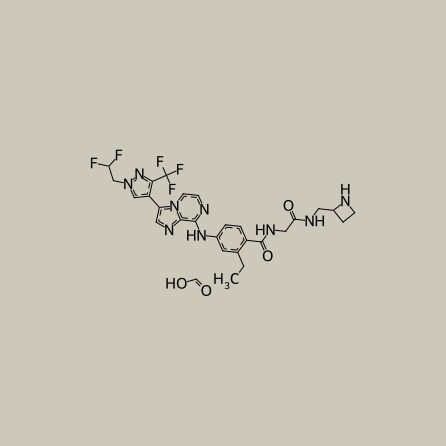 CCc1cc(Nc2nccn3c(-c4cn(CC(F)F)nc4C(F)(F)F)cnc23)ccc1C(=O)NCC(=O)NCC1CCN1.O=CO